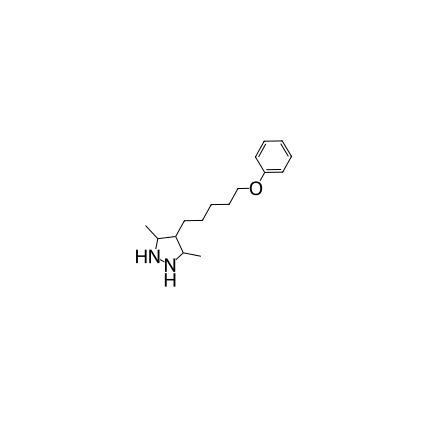 CC1NNC(C)C1CCCCCOc1ccccc1